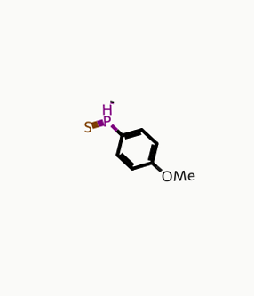 COc1ccc([PH](C)=S)cc1